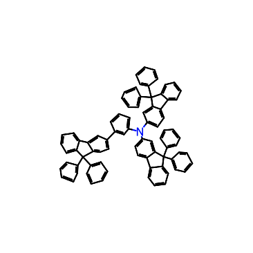 c1ccc(C2(c3ccccc3)c3ccccc3-c3cc(-c4cccc(N(c5ccc6c(c5)C(c5ccccc5)(c5ccccc5)c5ccccc5-6)c5ccc6c(c5)C(c5ccccc5)(c5ccccc5)c5ccccc5-6)c4)ccc32)cc1